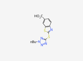 CCCCn1nnc(Sc2nc3ccc(C(=O)O)cc3s2)n1